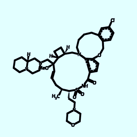 CO[C@]1(CN2CCN3CCCC[C@@H]3C2)/C=C/C[C@H](C)[C@@H](CCN2CCOCC2)S(=O)(=O)NC(=O)c2ccc3c(c2)N(CCCCc2cc(Cl)ccc2CO3)C[C@@H]2CC[C@H]21